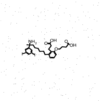 CC(N)(CCCCCCc1cccc(OCCCC(=O)O)c1CCC(=O)O)c1cc(I)cc(I)c1